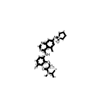 Cc1cc(N=S2(=O)CCCC2)cc2ncnc(Nc3ccc(F)cc3O[C@H](C)C(=O)N(C)C(C)C)c12